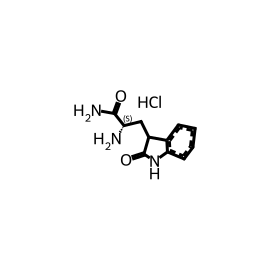 Cl.NC(=O)[C@@H](N)CC1C(=O)Nc2ccccc21